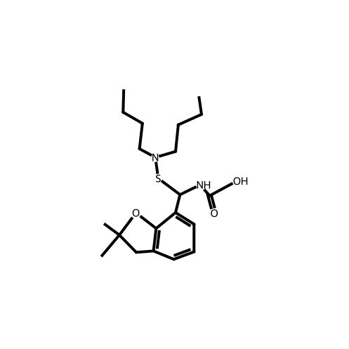 CCCCN(CCCC)SC(NC(=O)O)c1cccc2c1OC(C)(C)C2